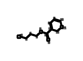 O=C(OCCCCl)C1=CC=COC1